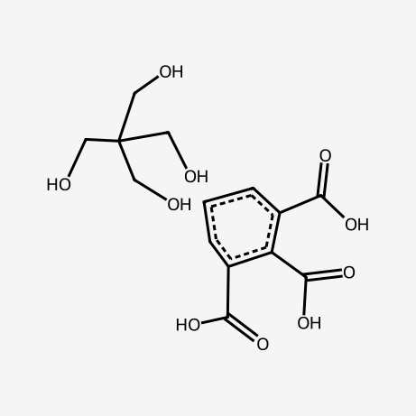 O=C(O)c1cccc(C(=O)O)c1C(=O)O.OCC(CO)(CO)CO